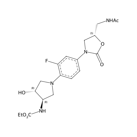 CCOC(=O)N[C@@H]1CN(c2ccc(N3C[C@H](CNC(C)=O)OC3=O)cc2F)C[C@H]1O